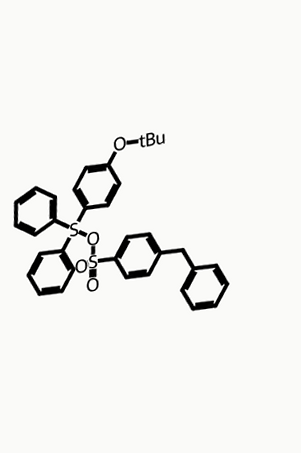 CC(C)(C)Oc1ccc(S(OS(=O)(=O)c2ccc(Cc3ccccc3)cc2)(c2ccccc2)c2ccccc2)cc1